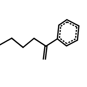 C=C(CCCC)c1ccccc1